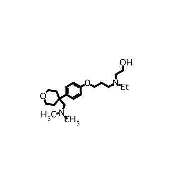 CCN(CCO)CCCOc1ccc(C2(CN(C)C)CCOCC2)cc1